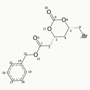 O=C(C[C@H]1C[C@@H](CBr)OC(=O)O1)OCc1ccccc1